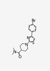 CN(C)C(=O)C1CCN(c2nc(-c3ccc(Br)cc3)cs2)CC1